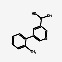 Cc1ccccc1-c1cncc(B(O)O)c1